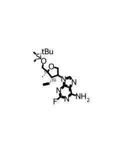 C=C[C@H]1C(n2cnc3c(N)nc(F)nc32)CO[C@]1(C)CO[Si](C)(C)C(C)(C)C